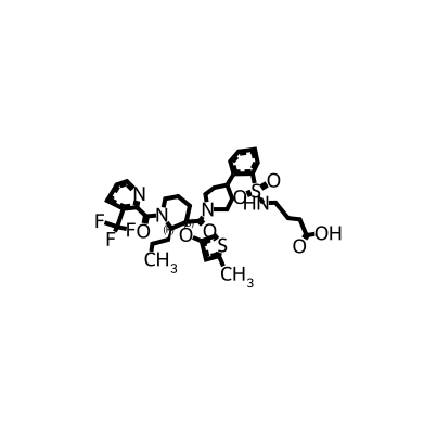 CCC[C@H]1N(C(=O)c2ncccc2C(F)(F)F)CCC[C@@]1(Oc1csc(C)c1)C(=O)N1CCC(c2ccccc2S(=O)(=O)NCCCC(=O)O)CC1